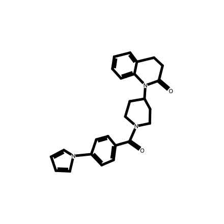 O=C(c1ccc(-n2cccc2)cc1)N1CCC(N2C(=O)CCc3ccccc32)CC1